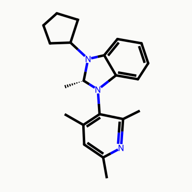 Cc1cc(C)c(N2c3ccccc3N(C3CCCC3)[C@H]2C)c(C)n1